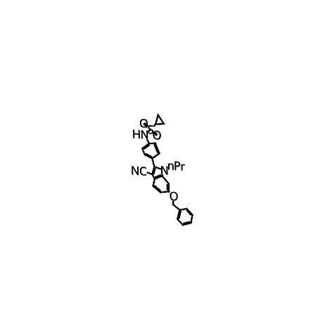 CCCn1c(-c2ccc(NS(=O)(=O)C3CC3)cc2)c(C#N)c2ccc(OCc3ccccc3)cc21